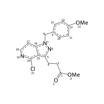 COC(=O)CCc1nn(Cc2ccc(OC)cc2)c2ccnc(Cl)c12